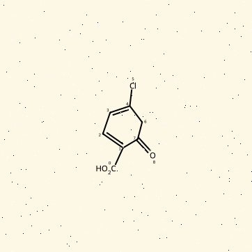 O=C(O)C1=CC=C(Cl)CC1=O